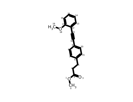 COC(=O)CCc1ccc(C#Cc2ccccc2OC)cc1